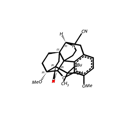 COc1ccc2c3c1O[C@@H]1C34CCN(C#N)[C@H](C2)[C@]42CC[C@@]1(OC)[C@@H](C(C)(O)C(C)(C)C)C2